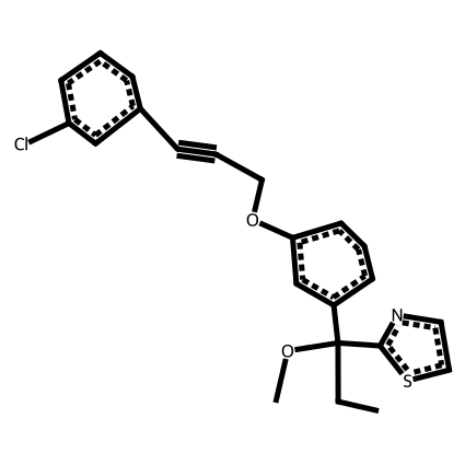 CCC(OC)(c1cccc(OCC#Cc2cccc(Cl)c2)c1)c1nccs1